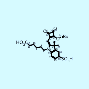 CCCCOc1c(C=C2N(CCCCCC(=O)O)c3ccc(S(=O)(=O)O)cc3C2(C)C)c(=O)c1=O